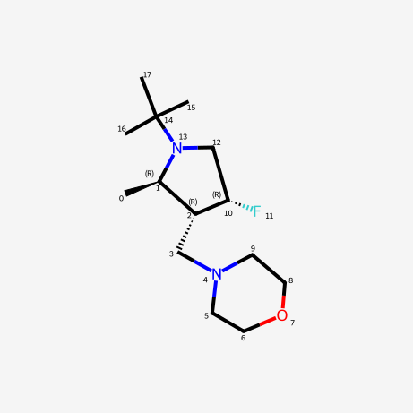 C[C@@H]1[C@@H](CN2CCOCC2)[C@@H](F)CN1C(C)(C)C